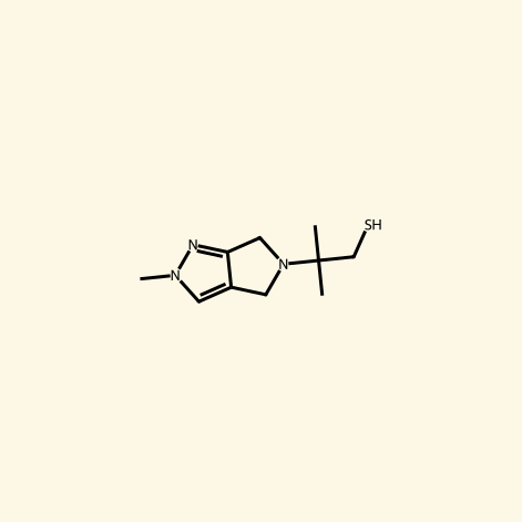 Cn1cc2c(n1)CN(C(C)(C)CS)C2